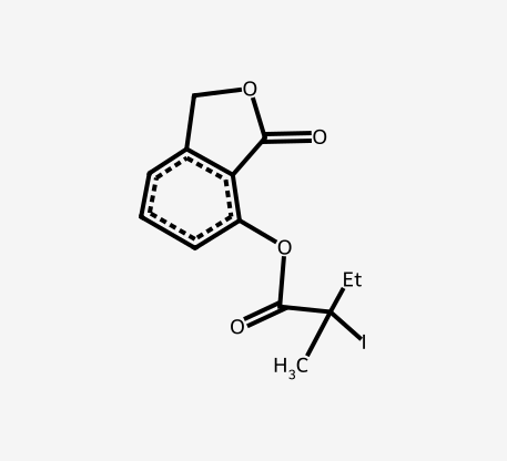 CCC(C)(I)C(=O)Oc1cccc2c1C(=O)OC2